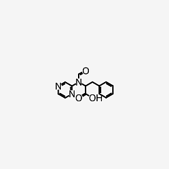 O=CN(c1cnccn1)C(Cc1ccccc1)C(=O)O